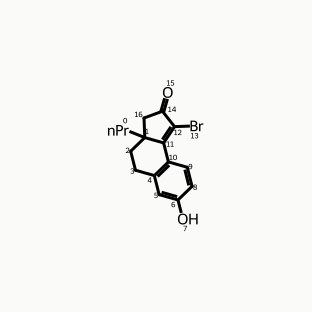 CCCC12CCc3cc(O)ccc3C1=C(Br)C(=O)C2